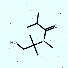 CC(C)C(=O)N(C)C(C)(C)CO